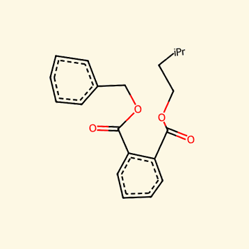 CC(C)CCOC(=O)c1ccccc1C(=O)OCc1ccccc1